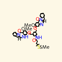 COc1cc2c(cc1OCc1cc(COc3cc4c(cc3OC)C(=O)N3c5ccccc5C[C@H]3CN4)cc(NC(=O)CCC(C)(C)SSC)c1)N=C[C@@H]1Cc3ccccc3N1C2=O